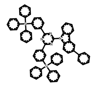 c1ccc(-c2ccc3c(c2)c2ccccc2n3-c2nc(-c3cccc([Si](c4ccccc4)(c4ccccc4)c4ccccc4)c3)nc(-c3cccc([Si](c4ccccc4)(c4ccccc4)c4ccccc4)c3)n2)cc1